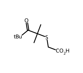 CC(C)(C)C(=O)C(C)(C)SCC(=O)O